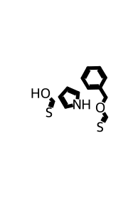 OC=S.S=COCc1ccccc1.c1cc[nH]c1